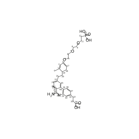 CC1=CC(OCCOCCOCCP(=O)(O)O)=CCC1CCc1cnc2c(N)nc3cc(CCC(=O)O)ccc3c2c1